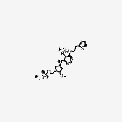 N=Nc1c(NCCc2cccs2)ncnc1NC1CC(O)C(COS(N)(=O)=O)C1